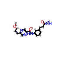 CNC(=O)CCc1cccc(NC(=O)c2cnc(/C=C\COC)cn2)c1